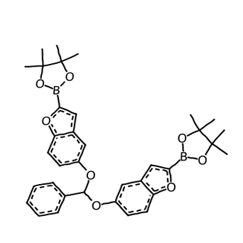 CC1(C)OB(c2cc3cc(OC(Oc4ccc5oc(B6OC(C)(C)C(C)(C)O6)cc5c4)c4ccccc4)ccc3o2)OC1(C)C